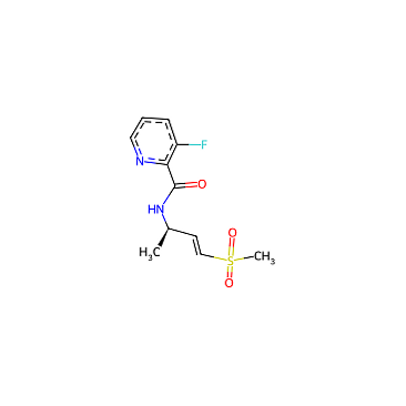 C[C@H](/C=C/S(C)(=O)=O)NC(=O)c1ncccc1F